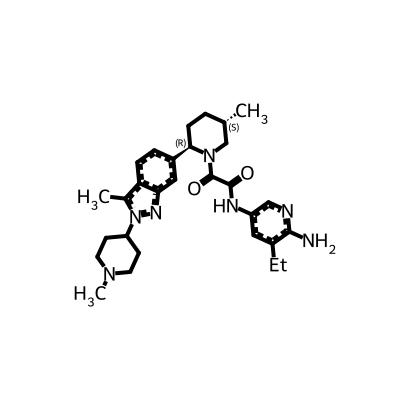 CCc1cc(NC(=O)C(=O)N2C[C@@H](C)CC[C@@H]2c2ccc3c(C)n(C4CCN(C)CC4)nc3c2)cnc1N